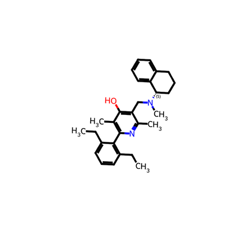 CCc1cccc(CC)c1-c1nc(C)c(CN(C)[C@H]2CCCc3ccccc32)c(O)c1C